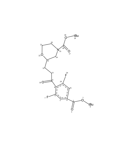 CC(C)(C)OC(=O)c1cc(F)c(C(=O)CCC2CN(C(=O)OC(C)(C)C)CCO2)c(F)c1